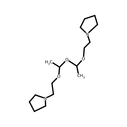 CC(OCCN1CCCC1)OC(C)OCCN1CCCC1